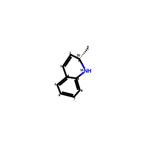 C[C@H]1C=Cc2ccccc2N1